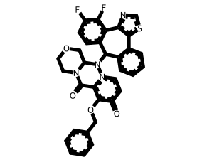 O=C1c2c(OCc3ccccc3)c(=O)ccn2N(C2c3ccccc3-c3scnc3-c3c2ccc(F)c3F)C2COCCN12